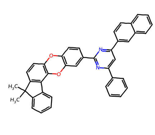 CC1(C)c2ccccc2-c2c1ccc1c2Oc2cc(-c3nc(-c4ccccc4)cc(-c4ccc5ccccc5c4)n3)ccc2O1